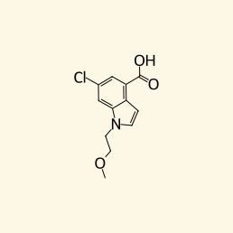 COCCn1ccc2c(C(=O)O)cc(Cl)cc21